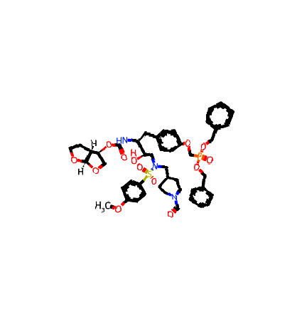 COc1ccc(S(=O)(=O)N(CC2CCN(C=O)CC2)C[C@@H](O)[C@H](Cc2ccc(OCP(=O)(OCc3ccccc3)OCc3ccccc3)cc2)NC(=O)O[C@H]2CO[C@H]3OCC[C@H]32)cc1